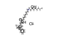 CCCCCCC(O)C/C=C\CCCCCCCC(=O)NCCC[N+](CC)(CC)Cc1ccccc1.[Cl-]